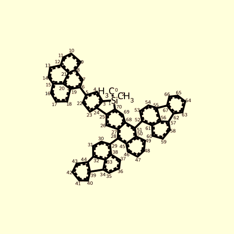 C[Si]1(C)c2cc(-c3cc4cccc5ccc6cccc3c6c54)ccc2-c2cc3c(-c4ccc5c6c(cccc46)-c4ccccc4-5)c4ccccc4c(-c4ccc5c6c(cccc46)-c4ccccc4-5)c3cc21